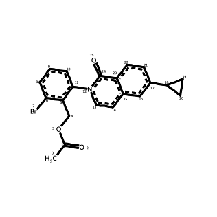 CC(=O)OCc1c(Br)cccc1-n1ccc2cc(C3CC3)ccc2c1=O